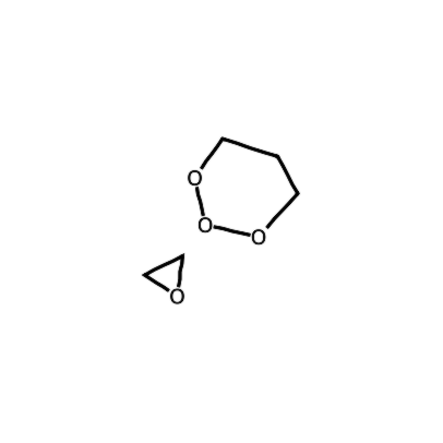 C1CO1.C1COOOC1